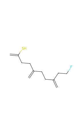 C=C(S)CCC(=C)CCC(=C)CCF